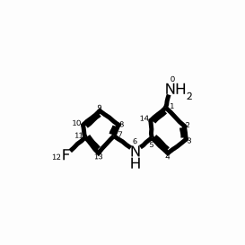 Nc1cccc(Nc2cccc(F)c2)c1